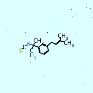 CC(C)=CCc1cccc(C(C)(C)N=C=S)c1